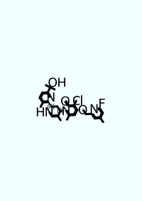 CC1=CN[C@@H](c2nc(C(C)(C)O)ccc2C)C[C@H]1n1c(C)cc(OCc2cc(C)cc(F)n2)c(Cl)c1=O